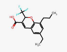 CCCc1cc(CC)cc2c1OC(C(F)(F)F)C(C(=O)O)=C2